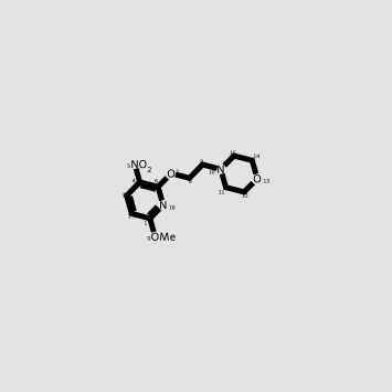 COc1ccc([N+](=O)[O-])c(OCCN2CCOCC2)n1